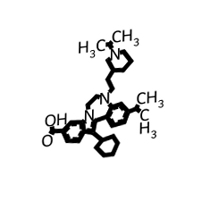 CC(C)c1ccc2c(c1)N(CCC1CCCN(C(C)C)C1)CCn1c-2c(C2CCCCC2)c2ccc(C(=O)O)cc21